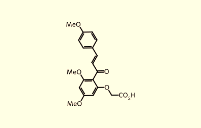 COc1ccc(C=CC(=O)c2c(OC)cc(OC)cc2OCC(=O)O)cc1